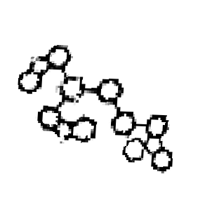 c1cc(-c2cccc(-c3cccc4c3C3(CCCCC3)c3ccccc3-4)c2)cc(-c2nc(-c3cccc4oc5ccccc5c34)nc(-c3cccc4oc5ccccc5c34)n2)c1